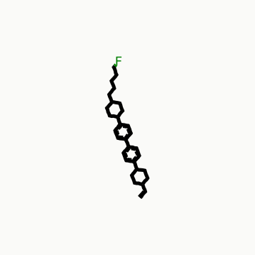 C=CC1CCC(c2ccc(-c3ccc(C4CCC(CCCCCF)CC4)cc3)cc2)CC1